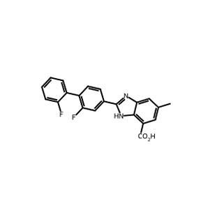 Cc1cc(C(=O)O)c2[nH]c(-c3ccc(-c4ccccc4F)c(F)c3)nc2c1